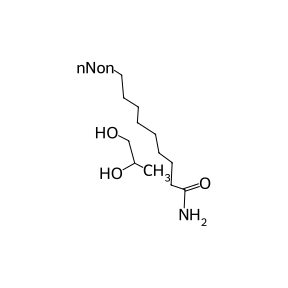 CC(O)CO.CCCCCCCCCCCCCCCCCC(N)=O